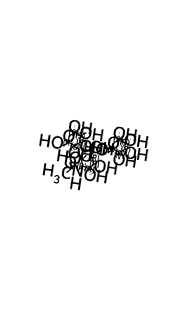 CC(=O)N[C@H]1C(O)O[C@H](CO)[C@H](O)[C@@H]1O.OC[C@H]1O[C@H](O)[C@@H](O)[C@@H](O)[C@@H]1O.OC[C@H]1O[C@H](O)[C@H](O)[C@@H](O)[C@H]1O